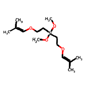 CO[Si](CCOC=C(C)C)(CCOC=C(C)C)OC